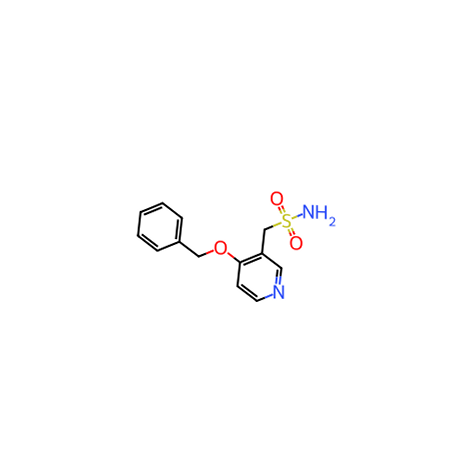 NS(=O)(=O)Cc1cnccc1OCc1ccccc1